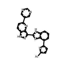 CC(=O)c1ccc(-c2cccc3[nH]c(-c4n[nH]c5ccc(-c6cncnc6)nc45)nc23)s1